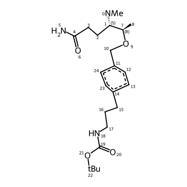 CN[C@@H](CCC(N)=O)[C@@H](C)OCc1ccc(CCCNC(=O)OC(C)(C)C)cc1